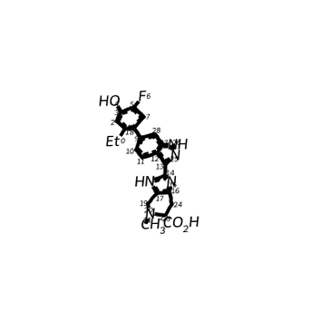 CCc1cc(O)c(F)cc1-c1ccc2c(-c3nc4c([nH]3)CN(C)C(C(=O)O)C4)n[nH]c2c1